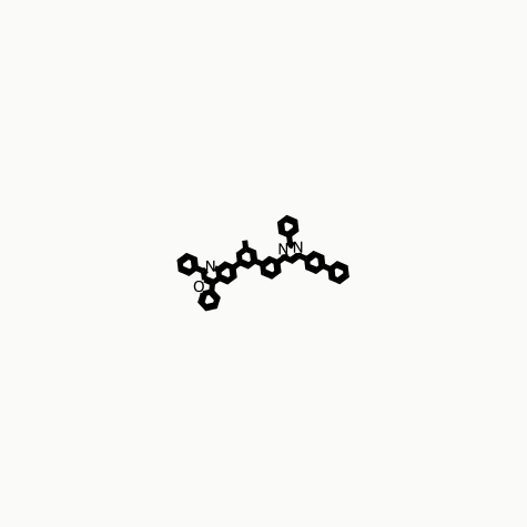 CC1C=C(c2cccc(-c3cc(-c4ccc(-c5ccccc5)cc4)nc(-c4ccccc4)n3)c2)C=C(c2ccc3c(c2)nc(-c2ccccc2)c2oc4ccccc4c23)C1